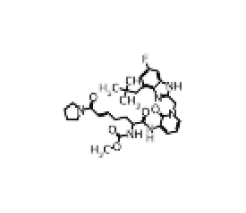 COC(=O)NC(CCC=CC(=O)N1CCCC1)C(=O)Nc1cccn(Cc2nc3c(CC(C)(C)C)cc(F)cc3[nH]2)c1=O